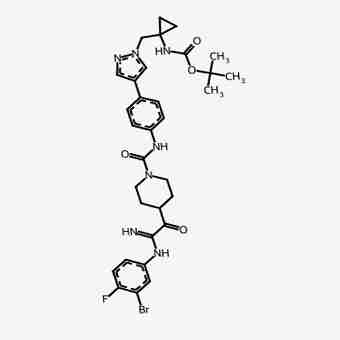 CC(C)(C)OC(=O)NC1(Cn2cc(-c3ccc(NC(=O)N4CCC(C(=O)C(=N)Nc5ccc(F)c(Br)c5)CC4)cc3)cn2)CC1